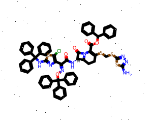 Nc1nnc(SCSC2=C(C(=O)OC(c3ccccc3)c3ccccc3)N3C(=O)[C@@H](NC(=O)C(=NOC(c4ccccc4)(c4ccccc4)c4ccccc4)c4nc(NC(c5ccccc5)(c5ccccc5)c5ccccc5)sc4Cl)C3CC2)s1